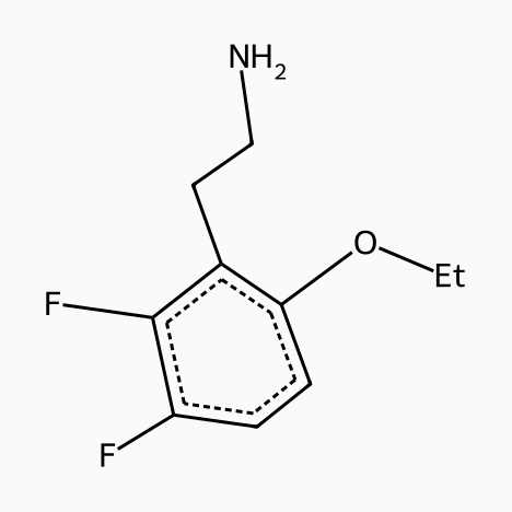 CCOc1ccc(F)c(F)c1CCN